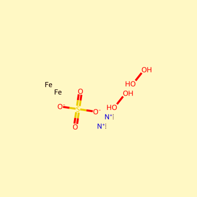 O=S(=O)([O-])[O-].OO.OO.[Fe].[Fe].[N+].[N+]